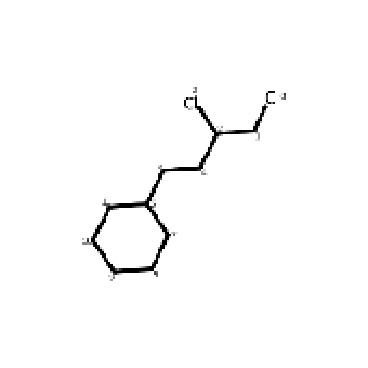 ClCC(Cl)CCC1CCCCC1